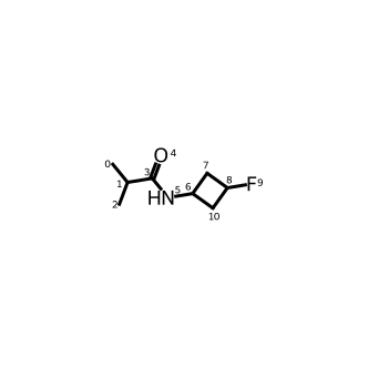 CC(C)C(=O)NC1CC(F)C1